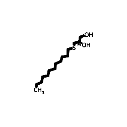 CCCCCCCCCCCCSC[C@H](O)CO